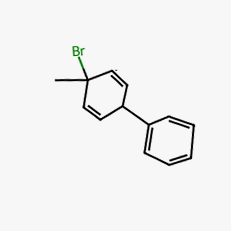 CC1(Br)[C]=CC(c2ccccc2)C=C1